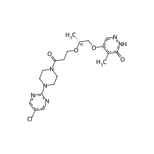 Cc1c(OC[C@@H](C)OCCC(=O)N2CCN(c3ncc(Cl)cn3)CC2)cn[nH]c1=O